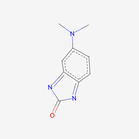 CN(C)c1ccc2c(c1)=NC(=O)N=2